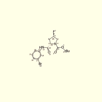 CC(C)(C)OC(=O)N1C[C@H](F)C[C@H]1C(=O)Nc1cccc(Br)c1